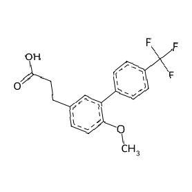 COc1ccc(CCC(=O)O)cc1-c1ccc(C(F)(F)F)cc1